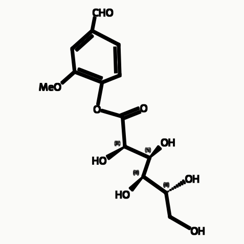 COc1cc(C=O)ccc1OC(=O)[C@H](O)[C@@H](O)[C@H](O)[C@H](O)CO